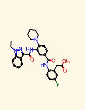 CCn1nc(C(=O)Nc2cc(C(=O)Nc3ccc(F)cc3CC(=O)O)ccc2N2CCCCC2)c2ccccc21